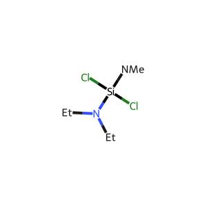 CCN(CC)[Si](Cl)(Cl)NC